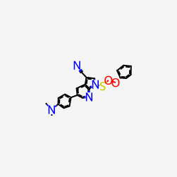 CN(C)c1ccc(-c2cnc3c(c2)c(C#N)cn3SOOc2ccccc2)cc1